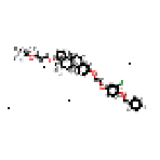 C[C@]12CC[C@@H]3c4ccc(OCCOc5ccc(OCc6ccccc6)c(F)c5)cc4CC[C@H]3[C@@H]1CC[C@@H]2OCCCOC(C(F)(F)F)(C(F)(F)F)C(F)(F)F